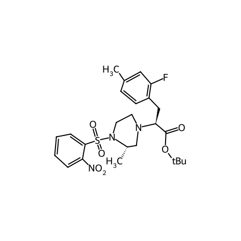 Cc1ccc(C[C@@H](C(=O)OC(C)(C)C)N2CCN(S(=O)(=O)c3ccccc3[N+](=O)[O-])[C@@H](C)C2)c(F)c1